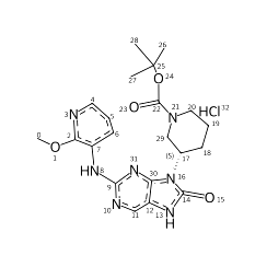 COc1ncccc1Nc1ncc2[nH]c(=O)n([C@H]3CCCN(C(=O)OC(C)(C)C)C3)c2n1.Cl